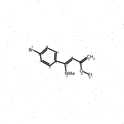 C=C(C=C(NC)c1ccc(Br)cc1)OCC